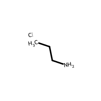 CCCN.[C]